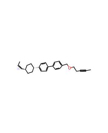 CC#CCCOCc1ccc(-c2ccc([C@H]3CC[C@H](/C=C\C)CC3)cc2)cc1